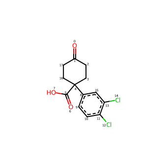 O=C1CCC(C(=O)O)(c2ccc(Cl)c(Cl)c2)CC1